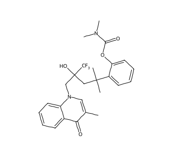 Cc1cn(CC(O)(CC(C)(C)c2ccccc2OC(=O)N(C)C)C(F)(F)F)c2ccccc2c1=O